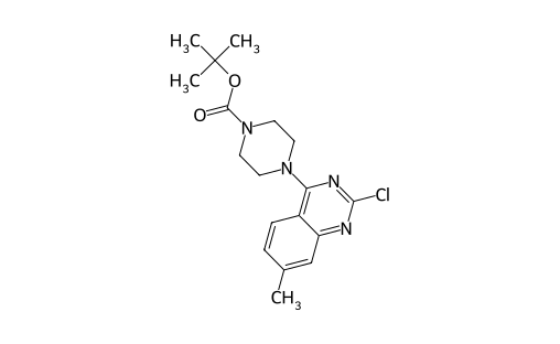 Cc1ccc2c(N3CCN(C(=O)OC(C)(C)C)CC3)nc(Cl)nc2c1